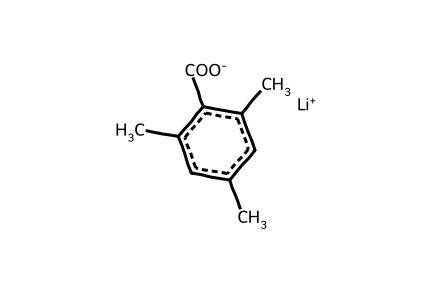 Cc1cc(C)c(C(=O)[O-])c(C)c1.[Li+]